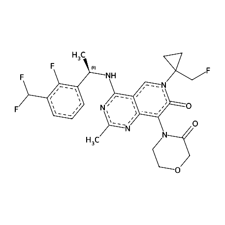 Cc1nc(N[C@H](C)c2cccc(C(F)F)c2F)c2cn(C3(CF)CC3)c(=O)c(N3CCOCC3=O)c2n1